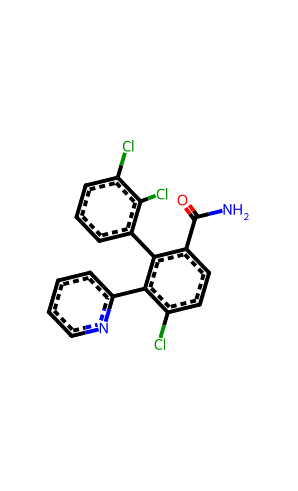 NC(=O)c1ccc(Cl)c(-c2ccccn2)c1-c1cccc(Cl)c1Cl